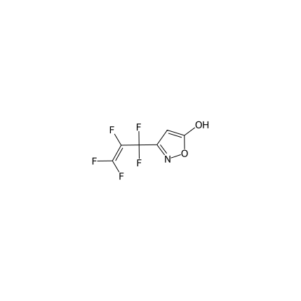 Oc1cc(C(F)(F)C(F)=C(F)F)no1